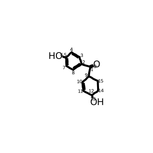 O=C(c1ccc(O)cc1)C1C=CC(O)CC1